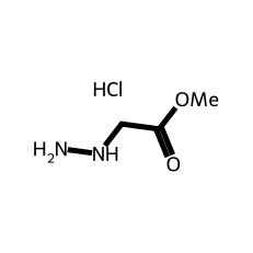 COC(=O)CNN.Cl